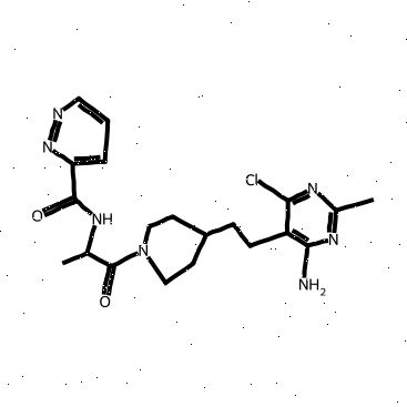 Cc1nc(N)c(CCC2CCN(C(=O)C(C)NC(=O)c3cccnn3)CC2)c(Cl)n1